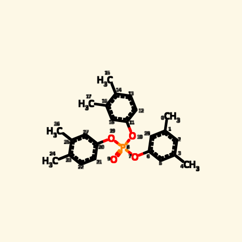 Cc1cc(C)cc(OP(=O)(Oc2ccc(C)c(C)c2)Oc2ccc(C)c(C)c2)c1